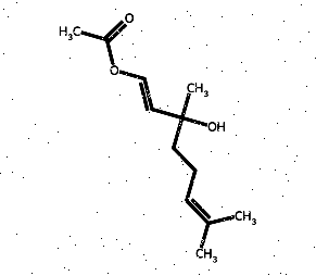 CC(=O)OC=CC(C)(O)CCC=C(C)C